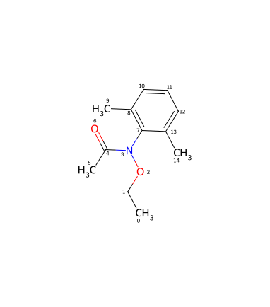 CCON(C(C)=O)c1c(C)cccc1C